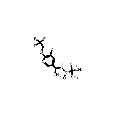 CC(N[S+]([O-])C(C)(C)C)c1cnc(OCC(F)(F)F)c(F)c1